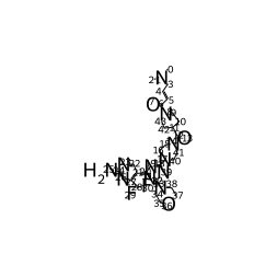 CN(C)C/C=C/C(=O)N1CCC(C(=O)N2CCN(c3nc(-c4cnc(N)nc4C(F)F)nc(N4CCOCC4)n3)CC2)CC1